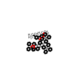 CC(C)(C)c1ccc2c(c1)c1cc(C(C)(C)C)ccc1n2-c1cc2c3c(c1)N(c1cccc([Si](c4ccccc4)(c4ccccc4)c4ccccc4)c1)c1c(cccc1-c1ccccc1)B3c1ccc([Si](c3ccccc3)(c3ccccc3)c3ccccc3)cc1N2c1cccc([Si](c2ccccc2)(c2ccccc2)c2ccccc2)c1